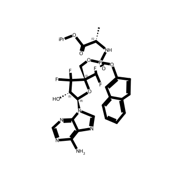 CC(C)OC(=O)[C@H](C)NP(=O)(OC[C@@]1(C(F)F)O[C@@H](n2cnc3c(N)ncnc32)[C@H](O)C1(F)F)Oc1ccc2ccccc2c1